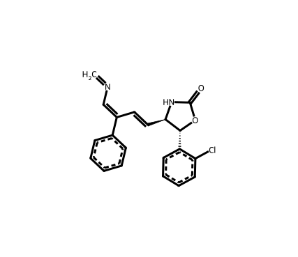 C=N/C=C(\C=C\[C@H]1NC(=O)O[C@@H]1c1ccccc1Cl)c1ccccc1